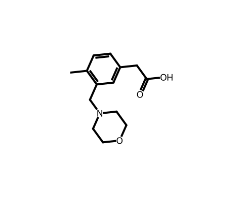 Cc1ccc(CC(=O)O)cc1CN1CCOCC1